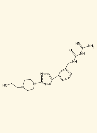 N=C(N)NC(=O)NCc1cccc(-c2cnc(N3CCN(CCO)CC3)nc2)c1